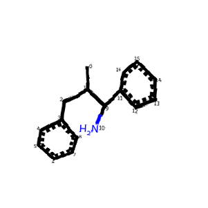 CC(Cc1ccccc1)C(N)c1ccccc1